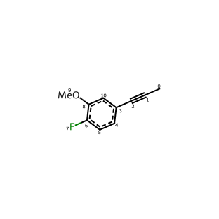 CC#Cc1ccc(F)c(OC)c1